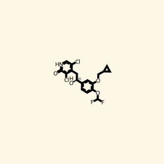 O=c1[nH]cc(Cl)c(C[C@H](O)c2ccc(OC(F)F)c(OCC3CC3)c2)c1Cl